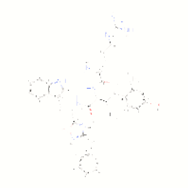 Cc1cc(O)cc(C)c1CC[C@H](NC(=O)[C@H](N)CCCNC(=N)N)C(=O)N[C@@H](Cc1c[nH]c2ccccc12)c1nc(Cc2ccccc2)no1